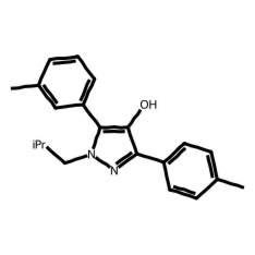 Cc1ccc(-c2nn(CC(C)C)c(-c3cccc(C)c3)c2O)cc1